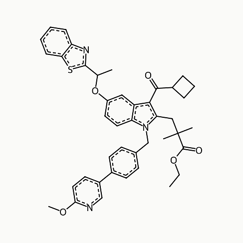 CCOC(=O)C(C)(C)Cc1c(C(=O)C2CCC2)c2cc(OC(C)c3nc4ccccc4s3)ccc2n1Cc1ccc(-c2ccc(OC)nc2)cc1